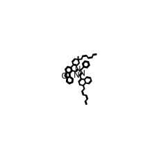 C=C/C=C\C=C/CC1CC=C(c2nc(-c3ccccc3)nc(-c3c(C4=CCC(C)(C/C=C\C=C/C=C)C=C4)ccc4oc5ccccc5c34)n2)C2C=CC=CC12